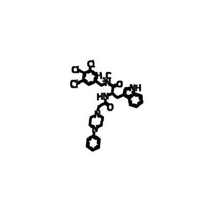 CN(Cc1cc(Cl)c(Cl)c(Cl)c1)C(=O)C(Cc1c[nH]c2ccccc12)NC(=O)CN1CCN(c2ccccc2)CC1